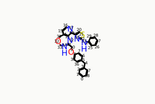 c1ccc(Cc2ccc(OC/C3=N/c4c(ccnc4-c4csc(Nc5ccccc5)n4)COCN3)cc2)cc1